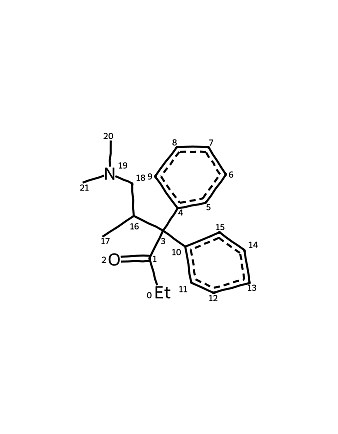 CCC(=O)C(c1ccccc1)(c1ccccc1)C(C)CN(C)C